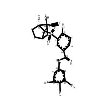 C#C[C@]1(O)CC2CC[C@@H]1[C@@H]2S(=O)(=O)c1cc(C(=O)Nc2cc(F)c(F)c(F)c2)ccc1Cl